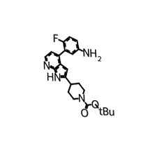 CC(C)(C)OC(=O)N1CCC(c2cc3c(-c4cc(N)ccc4F)ccnc3[nH]2)CC1